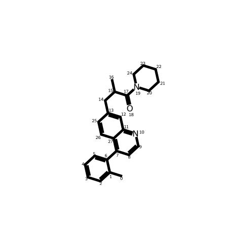 Cc1ccccc1-c1ccnc2cc(CC(C)C(=O)N3CCCCC3)ccc12